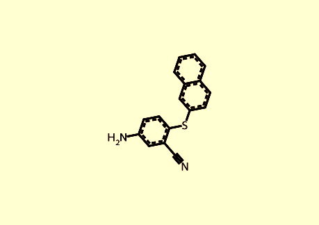 N#Cc1cc(N)ccc1Sc1ccc2ccccc2c1